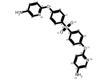 Nc1ccc(Oc2ccc(S(=O)(=O)c3ccc(Oc4ccc(N)cn4)cc3)cc2)nc1